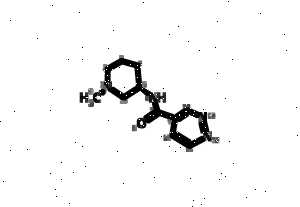 CN1CCC[C@@H](NC(=O)c2ccnnc2)C1